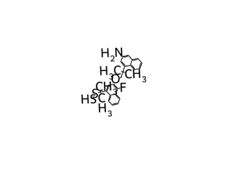 CC(C)(COc1cc(C(C)(C)SS)c2ccccc2c1F)c1cc(N)cc2ccccc12